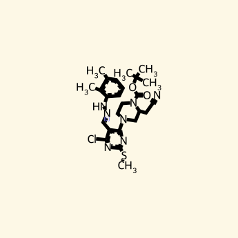 CSc1nc(Cl)c(/C=N/Nc2cccc(C)c2C)c(N2CCN(C(=O)OC(C)(C)C)C(CC#N)C2)n1